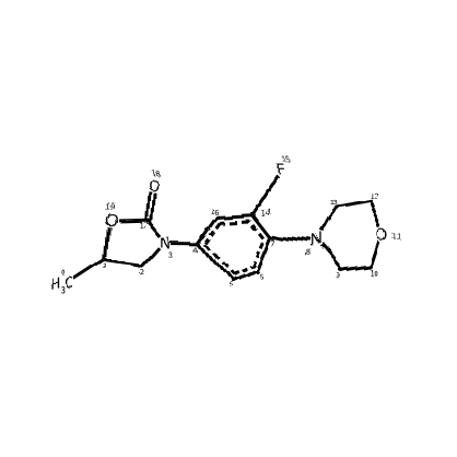 CC1CN(c2ccc(N3CCOCC3)c(F)c2)C(=O)O1